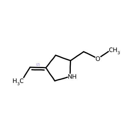 C/C=C1\CNC(COC)C1